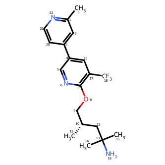 Cc1cc(-c2cnc(OC[C@@H](C)CC(C)(C)N)c(C(F)(F)F)c2)ccn1